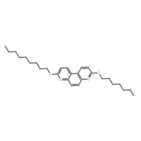 CCCCCCCCCOc1ccc2c(ccc3nc(OCCCCCCC)ccc32)n1